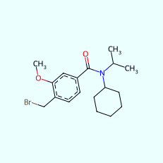 COc1cc(C(=O)N(C(C)C)C2CCCCC2)ccc1CBr